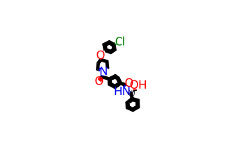 O=C(N[C@H](CO)c1ccccc1)c1ccc(C(=O)N2CCC(Oc3ccc(Cl)cc3)CC2)cc1